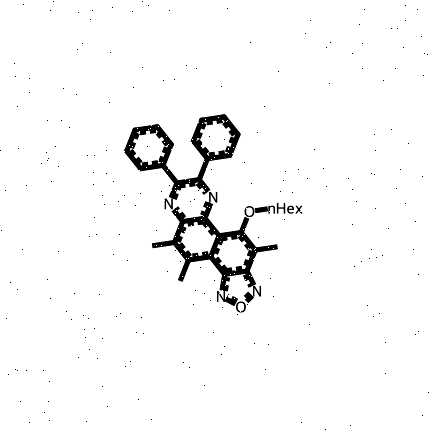 CCCCCCOc1c(C)c2nonc2c2c(C)c(C)c3nc(-c4ccccc4)c(-c4ccccc4)nc3c12